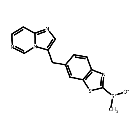 C[S+]([O-])c1nc2ccc(Cc3cnc4ccncn34)cc2s1